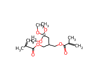 C=C(C)C(=O)OCC(COC(=O)C(=C)C)C[Si](OC)(OC)OC